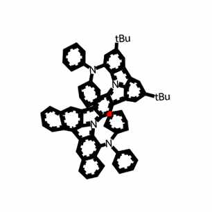 CC(C)(C)c1cc(N(c2ccccc2)c2ccccc2)c2c(c1)c1cc(C(C)(C)C)cc3c4cc5c(cc4n2c31)c1cc2ccccc2c2c3cc4ccccc4c(N(c4ccccc4)c4ccccc4)c3n5c12